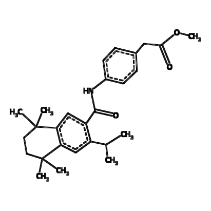 COC(=O)Cc1ccc(NC(=O)c2cc3c(cc2C(C)C)C(C)(C)CCC3(C)C)cc1